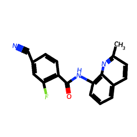 Cc1ccc2cccc(NC(=O)c3ccc(C#N)cc3F)c2n1